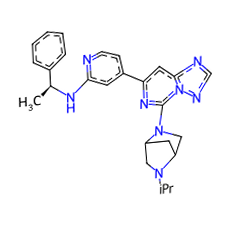 CC(C)N1CC2CC1CN2c1nc(-c2ccnc(N[C@@H](C)c3ccccc3)c2)cc2ncnn12